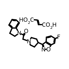 O=C(CN1CCC(c2noc3cc(F)ccc23)CC1)N1CCc2ccccc21.O=C(O)C=CC(=O)O